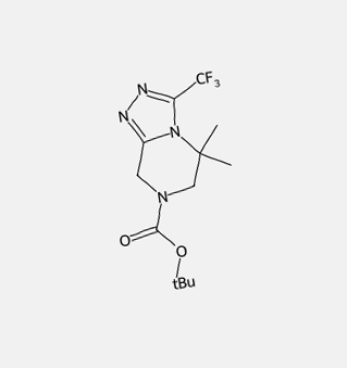 CC(C)(C)OC(=O)N1Cc2nnc(C(F)(F)F)n2C(C)(C)C1